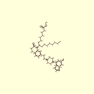 CCCCCCCCC(CCCCCCC(=O)OC)N1C(=O)CCc2ccc(CCN3CCN(c4cc(F)cc5sccc45)CC3)cc21